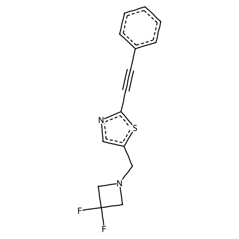 FC1(F)CN(Cc2cnc(C#Cc3ccccc3)s2)C1